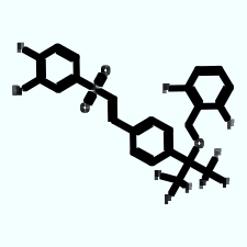 O=S(=O)(C=Cc1ccc(C(OCc2c(F)cccc2F)(C(F)(F)F)C(F)(F)F)cc1)c1ccc(F)c(Br)c1